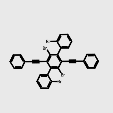 Brc1ccccc1-c1c(Br)c(C#Cc2ccccc2)c(-c2ccccc2Br)c(Br)c1C#Cc1ccccc1